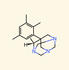 Cc1cc(C)c(C)c(C23CN4CN(CN(C4)[C@@H]2C)C3)c1